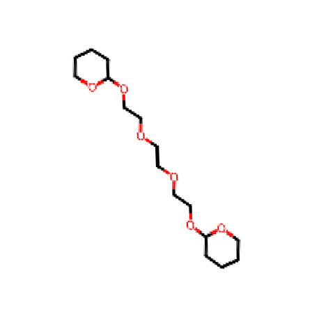 C1CCC(OCCOCCOCCOC2CCCCO2)OC1